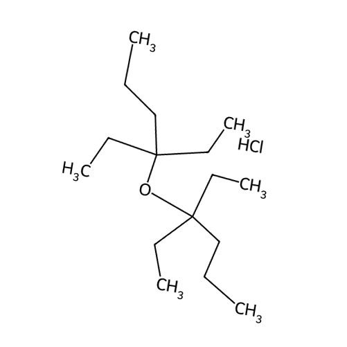 CCCC(CC)(CC)OC(CC)(CC)CCC.Cl